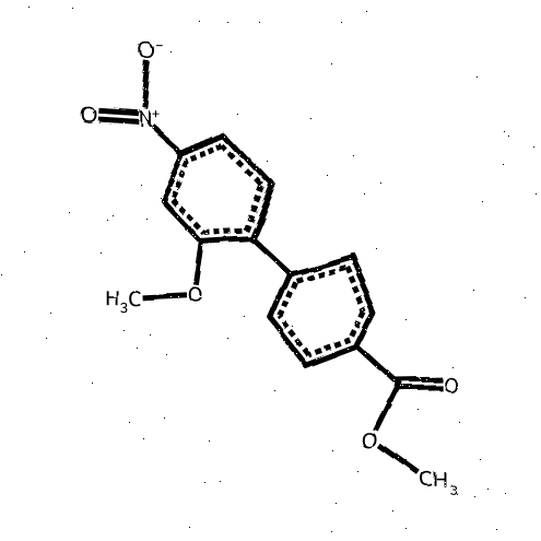 COC(=O)c1ccc(-c2ccc([N+](=O)[O-])cc2OC)cc1